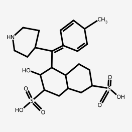 CC1C=CC(=C(C2CCNCC2)C2C(O)C(S(=O)(=O)O)CC3CC(S(=O)(=O)O)CCC32)C=C1